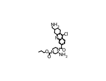 CCCOC(=O)N1CCN(C(=O)c2ccc3c(Cl)c4c(nc3c2)CC(CN)CC4)[C@H](N)C1